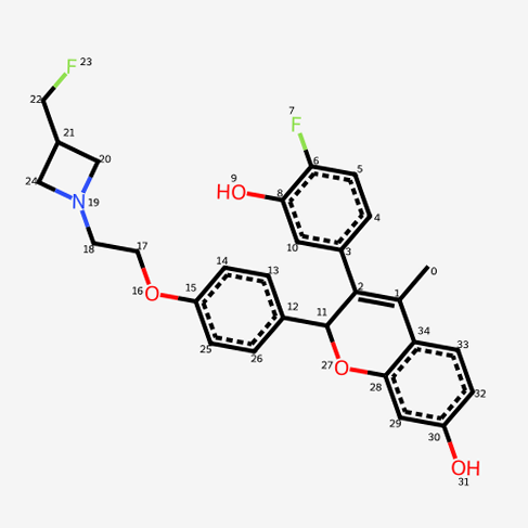 CC1=C(c2ccc(F)c(O)c2)C(c2ccc(OCCN3CC(CF)C3)cc2)Oc2cc(O)ccc21